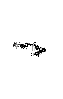 CC(C)(C)OC(=O)N1CCC(CCCNC(=O)c2ccc(S(=O)(=O)N(Oc3ccc(Cl)cc3Cl)c3ccccc3)cc2)CC1